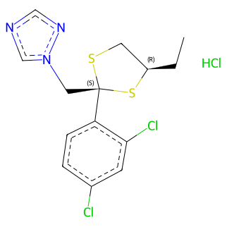 CC[C@@H]1CS[C@@](Cn2cncn2)(c2ccc(Cl)cc2Cl)S1.Cl